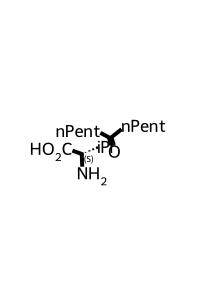 CC(C)[C@H](N)C(=O)O.CCCCCC(=O)CCCCC